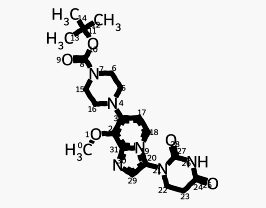 COc1c(N2CCN(C(=O)OC(C)(C)C)CC2)ccn2c(N3CCC(=O)NC3=O)cnc12